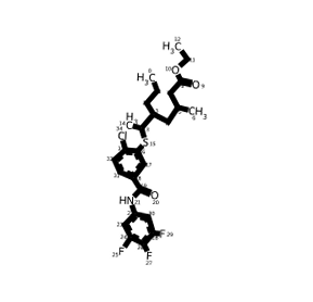 CCCC(CC(C)CC(=O)OCC)C(C)Sc1cc(C(=O)Nc2cc(F)c(F)c(F)c2)ccc1Cl